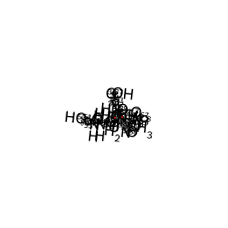 CC1C(=O)N(c2ccccc2)C(=O)C1CC(C)(CC(CN)CC(C)(CC(C)(C)C(=O)Nc1ccc(C(=O)O)cc1)C(=O)OCCNC(=O)Nc1ccc(O)cc1)C(N)=O